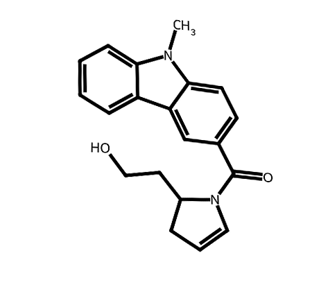 Cn1c2ccccc2c2cc(C(=O)N3C=CCC3CCO)ccc21